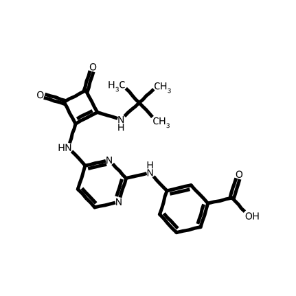 CC(C)(C)Nc1c(Nc2ccnc(Nc3cccc(C(=O)O)c3)n2)c(=O)c1=O